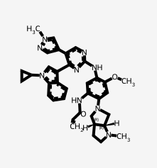 C=CC(=O)Nc1cc(Nc2ncc(-c3cnn(C)c3)c(-c3cn(C4CC4)c4ccccc34)n2)c(OC)cc1N1C[C@H]2CCN(C)[C@H]2C1